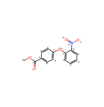 COC(=O)c1ccc(Oc2ccccc2[N+](=O)[O-])cc1